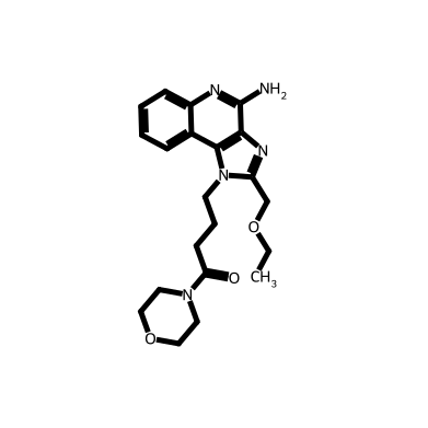 CCOCc1nc2c(N)nc3ccccc3c2n1CCCC(=O)N1CCOCC1